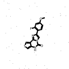 COc1ccc(-c2cn3c(=O)[nH]c4cscc4c3n2)c(F)c1